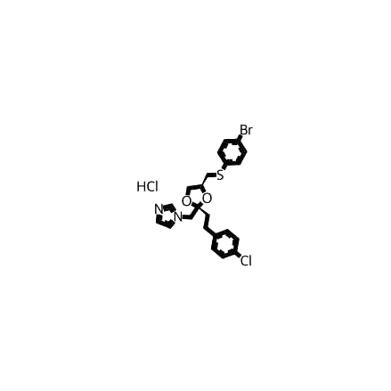 Cl.Clc1ccc(CC[C@@]2(Cn3ccnc3)OC[C@@H](CSc3ccc(Br)cc3)O2)cc1